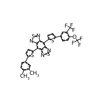 Cc1ccc(-c2ccc(-c3c4c(c(-c5ccc(-c6ccc(OC(F)(F)F)c(C(F)(F)F)c6)s5)c5nsnc35)N=S=N4)s2)cc1C